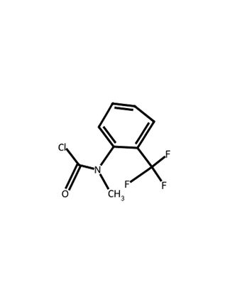 CN(C(=O)Cl)c1ccccc1C(F)(F)F